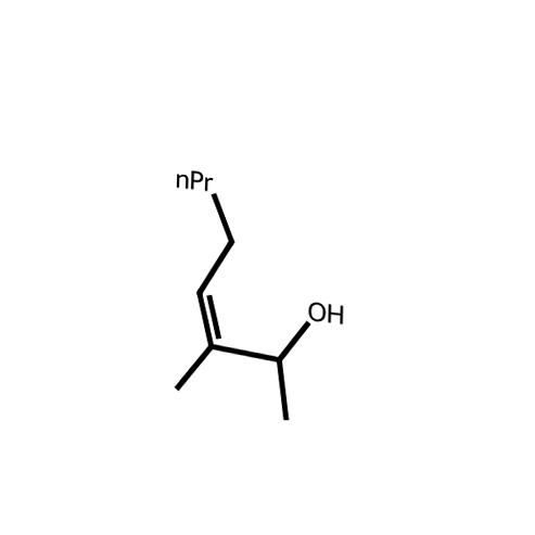 CCCCC=C(C)C(C)O